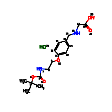 CC(C)(C)OC(=O)NCCOc1ccc(CNCC(=O)O)cc1.Cl